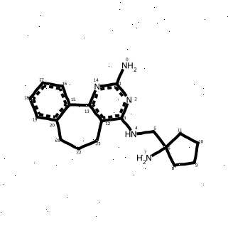 Nc1nc(NCC2(N)CCCC2)c2c(n1)-c1ccccc1CCC2